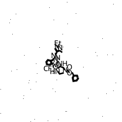 CCn1cc(-c2nc3c4cccc(C(F)(F)F)c4nc(N[C@H]4CN(C(=O)OCc5ccccc5)CCNC4=O)n3n2)c(C)n1